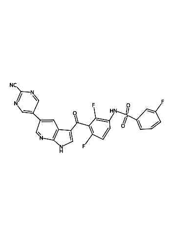 N#Cc1ncc(-c2cnc3[nH]cc(C(=O)c4c(F)ccc(NS(=O)(=O)c5cccc(F)c5)c4F)c3c2)cn1